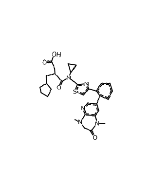 CN1CC(=O)N(C)c2cc(-c3ccccc3-c3csc(N(C(=O)C(CC(=O)O)CC4CCCC4)C4CC4)n3)cnc21